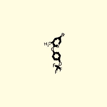 Cc1cc(Br)cnc1Oc1ccc(OC(F)(F)F)cc1